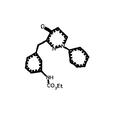 CCOC(=O)Nc1cccc(Cc2nn(-c3ccccc3)ccc2=O)c1